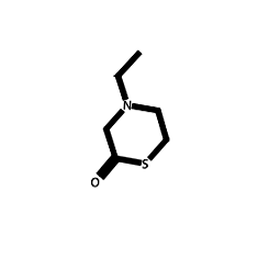 C[CH]N1CCSC(=O)C1